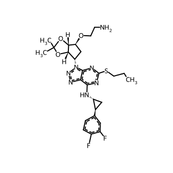 CCCSc1nc(N[C@@H]2C[C@H]2c2ccc(F)c(F)c2)c2nnn([C@H]3C[C@H](OCCN)[C@H]4OC(C)(C)O[C@H]43)c2n1